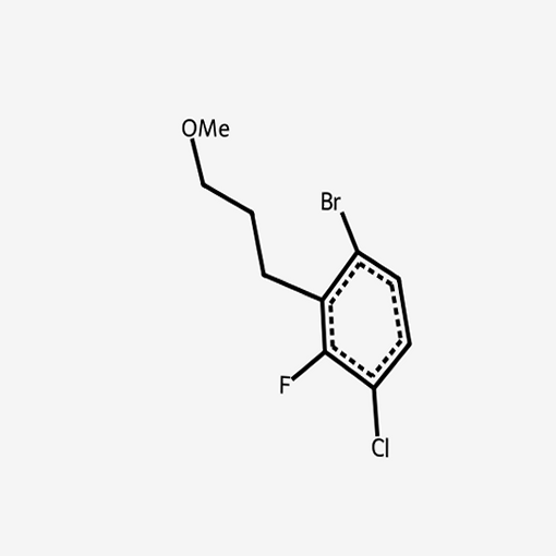 COCCCc1c(Br)ccc(Cl)c1F